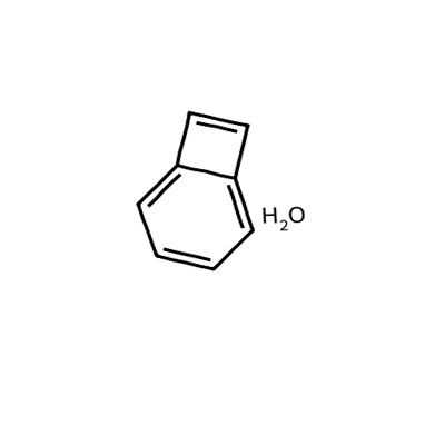 C1=Cc2ccccc21.O